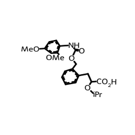 COc1ccc(NC(=O)OCc2ccccc2CC(OC(C)C)C(=O)O)c(OC)c1